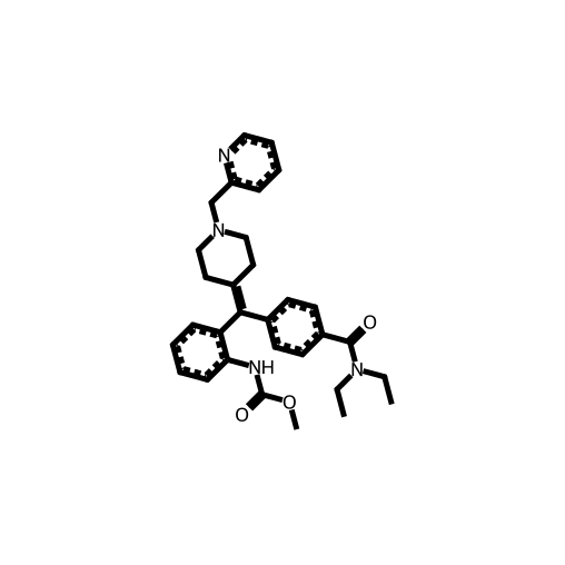 CCN(CC)C(=O)c1ccc(C(=C2CCN(Cc3ccccn3)CC2)c2ccccc2NC(=O)OC)cc1